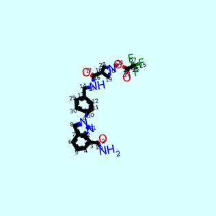 NC(=O)c1cccc2cn(-c3ccc(CNC(=O)C4CN(OC(=O)C(F)(F)F)C4)cc3)nc12